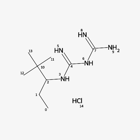 CCC(NC(=N)NC(=N)N)C(C)(C)C.Cl